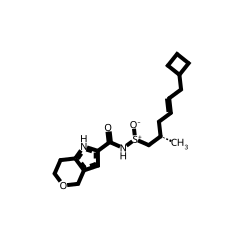 C[C@@H](C/C=C/CC1CCC1)C[S+]([O-])NC(=O)c1cc2c([nH]1)CCOC2